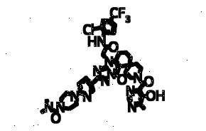 Cc1ncnc(C(=O)N2CCC3(CCCc4c3c(=O)n3nc(-c5ccc(N6CCN(C(=O)N(C)C)CC6)nc5)nc3n4CC(=O)Nc3ccc(C(F)(F)F)cc3Cl)CC2)c1O